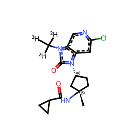 [2H]C([2H])([2H])n1c(=O)n([C@@H]2CC[C@](C)(NC(=O)C3CC3)C2)c2cc(Cl)ncc21